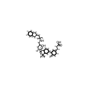 CN(CC(O)CNC(C)(C)CC1Cc2ccccc2C1)S(=O)(=O)c1ccc(-c2cc(CCC(=O)O)ccc2F)cc1C(F)(F)F